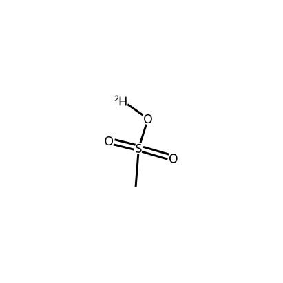 [2H]OS(C)(=O)=O